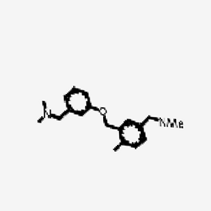 CNCc1ccc(C)c(COc2cccc(CN(C)C)c2)c1